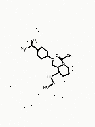 CC(=O)N1CCCC(NOO)C1COC1CCC(C(C)C)CC1